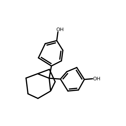 Oc1ccc(C2(c3ccc(O)cc3)C3CCCC2CC3)cc1